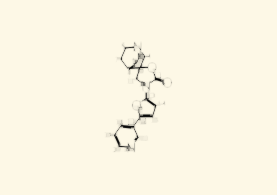 O=C1OC2(CN3CCC2CC3)CN1c1ccc(-c2cccnc2)o1